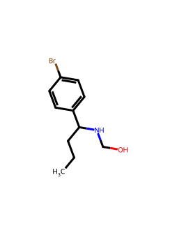 CCCC(NCO)c1ccc(Br)cc1